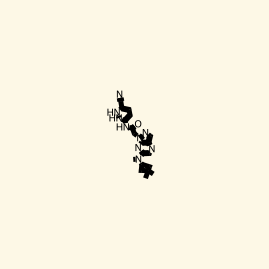 CN(c1cnc2cnn(CC(=O)NC3=CC=C(C#N)NN3)c2n1)C1CC(C)(C)C1